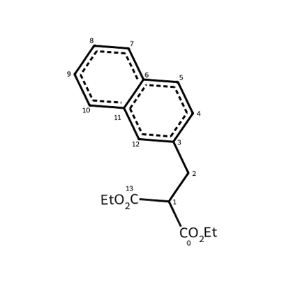 CCOC(=O)C(Cc1ccc2ccccc2c1)C(=O)OCC